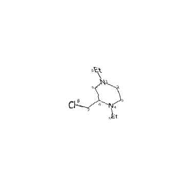 CCN1CCN(CC)C(CCl)C1